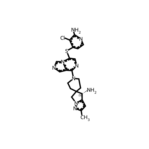 Cc1cc2n(n1)CC1(CCN(c3ncc(Sc4ccnc(N)c4Cl)n4cncc34)CC1)[C@@H]2N